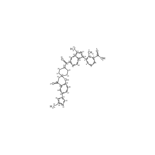 Cc1c(C(=O)O)cccc1-n1nc(C)c2cc(C(=O)N3CCC4(CC3)CC(=O)c3cc(-c5cnn(C)c5)ccc3O4)ccc21